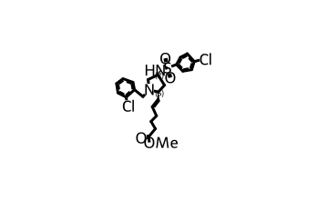 COC(=O)CCCC=C[C@@H]1C[C@@H](NS(=O)(=O)c2ccc(Cl)cc2)CN1Cc1ccccc1Cl